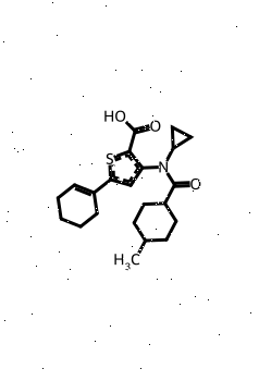 CC1CCC(C(=O)N(c2cc(C3=CCCCC3)sc2C(=O)O)C2CC2)CC1